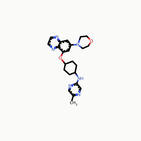 Cc1cnc(NC2CCC(Oc3cc(N4CCOCC4)cc4nccnc34)CC2)cn1